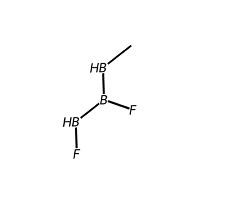 CBB(F)BF